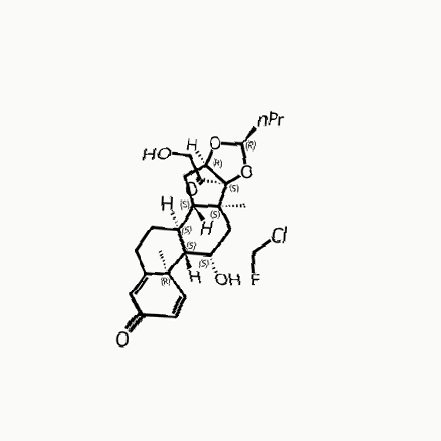 CCC[C@@H]1O[C@@H]2C[C@H]3[C@@H]4CCC5=CC(=O)C=C[C@]5(C)[C@H]4[C@@H](O)C[C@]3(C)[C@]2(C(=O)CO)O1.FCCl